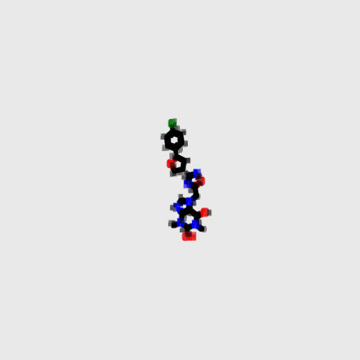 CN1C(=O)c2c(ncn2Cc2nc([C@@H]3CO[C@@H](c4ccc(Cl)cc4)C3)no2)N(C)C1O